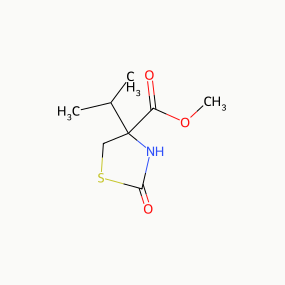 COC(=O)C1(C(C)C)CSC(=O)N1